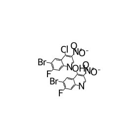 O=[N+]([O-])c1cnc2cc(F)c(Br)cc2c1Cl.O=[N+]([O-])c1cnc2cc(F)c(Br)cc2c1O